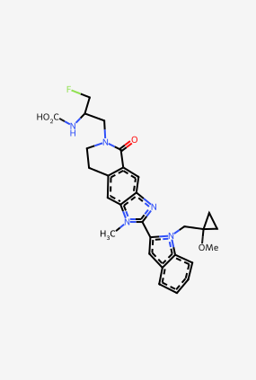 COC1(Cn2c(-c3nc4cc5c(cc4n3C)CCN(CC(CF)NC(=O)O)C5=O)cc3ccccc32)CC1